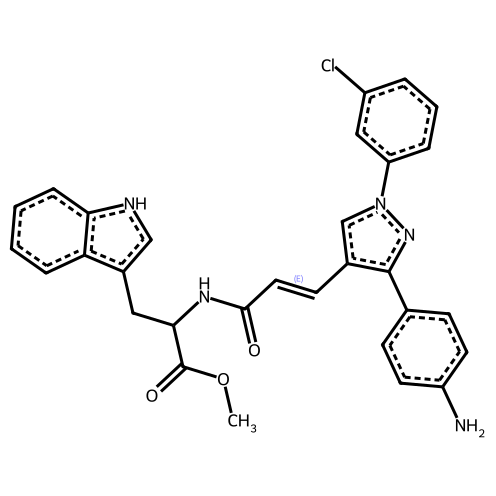 COC(=O)C(Cc1c[nH]c2ccccc12)NC(=O)/C=C/c1cn(-c2cccc(Cl)c2)nc1-c1ccc(N)cc1